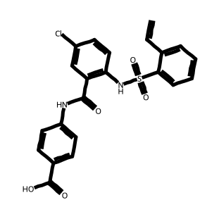 C=Cc1ccccc1S(=O)(=O)Nc1ccc(Cl)cc1C(=O)Nc1ccc(C(=O)O)cc1